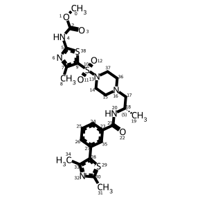 COC(=O)Nc1nc(C)c(S(=O)(=O)N2CCN(C[C@H](C)NC(=O)c3cccc(-c4sc(C)nc4C)c3)CC2)s1